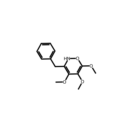 COC1=C(OC)C(OC)=C(Cc2ccccc2)NO1